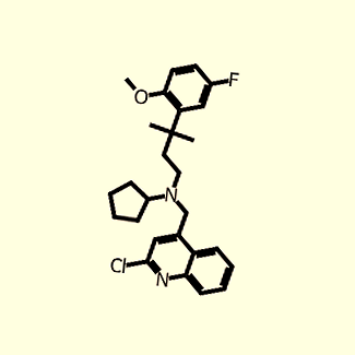 COc1ccc(F)cc1C(C)(C)CCN(Cc1cc(Cl)nc2ccccc12)C1CCCC1